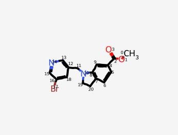 COC(=O)c1ccc2c(c1)N(Cc1cncc(Br)c1)CC2